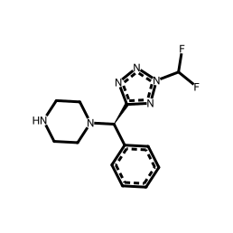 FC(F)n1nnc([C@@H](c2ccccc2)N2CCNCC2)n1